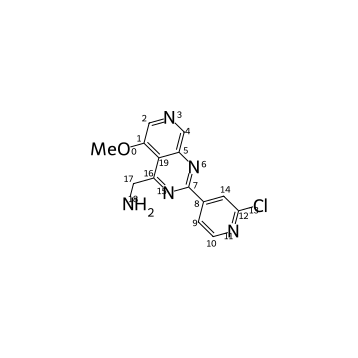 COc1cncc2nc(-c3ccnc(Cl)c3)nc(CN)c12